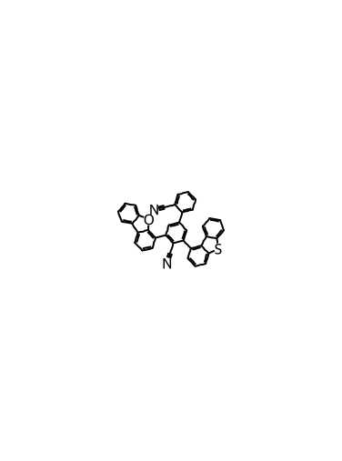 N#Cc1ccccc1-c1cc(-c2cccc3c2oc2ccccc23)c(C#N)c(-c2cccc3sc4ccccc4c23)c1